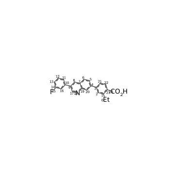 CCc1cc(-c2ccc3cc(-c4cccc(F)c4)cnc3c2)ccc1C(=O)O